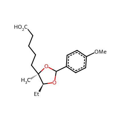 CC[C@@H]1OC(c2ccc(OC)cc2)O[C@]1(C)CCCCC(=O)O